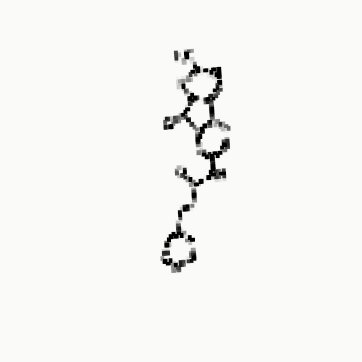 O=C(C=Cc1ccncc1)Nc1ccc2c(c1)C(=O)c1nc(C(F)(F)F)ncc1-2